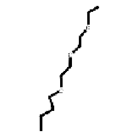 C[CH]CCOCCOCCOCC